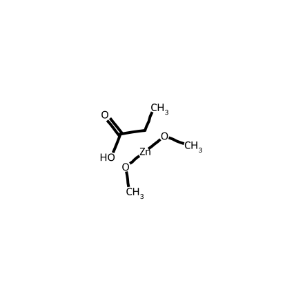 CCC(=O)O.C[O][Zn][O]C